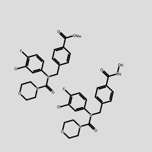 COC(=O)c1ccc(CN(C(=O)N2CCOCC2)c2ccc(F)c(Cl)c2)cc1.O=C(NO)c1ccc(CN(C(=O)N2CCOCC2)c2ccc(F)c(Cl)c2)cc1